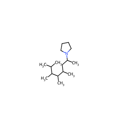 CC(C)C(C)C(C)C(C)CC(C)N1CCCC1